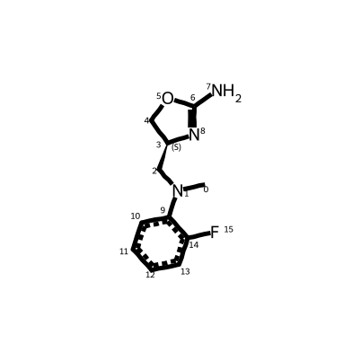 CN(C[C@H]1COC(N)=N1)c1ccccc1F